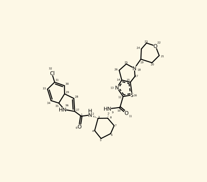 O=C(N[C@H]1CCCC[C@H]1NC(=O)c1nc2c(s1)CN(C1CCOCC1)CC2)C1=CC2C=C(Cl)C=CC2N1